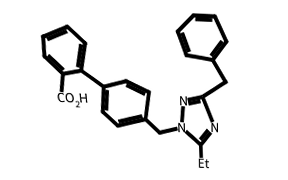 CCc1nc(Cc2ccccc2)nn1Cc1ccc(-c2ccccc2C(=O)O)cc1